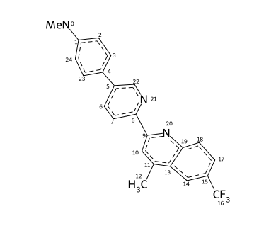 CNc1ccc(-c2ccc(-c3cc(C)c4cc(C(F)(F)F)ccc4n3)nc2)cc1